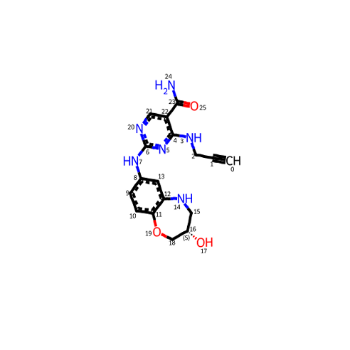 C#CCNc1nc(Nc2ccc3c(c2)NC[C@H](O)CO3)ncc1C(N)=O